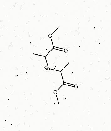 COC(=O)[CH](C)[Sn][CH](C)C(=O)OC